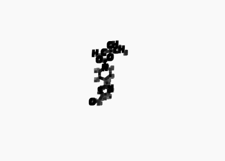 CC(C)(C)OC(=O)N1CCC(c2ncc(C=O)s2)CC1